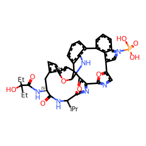 CCC(O)(CC)C(=O)N[C@H]1Cc2ccc3c(c2)C24c5cccc(c5NC2O3)-c2cccc3c2c(cn3P(=O)(O)O)-c2cnc(o2)-c2nc(oc24)C(C(C)C)NC1=O